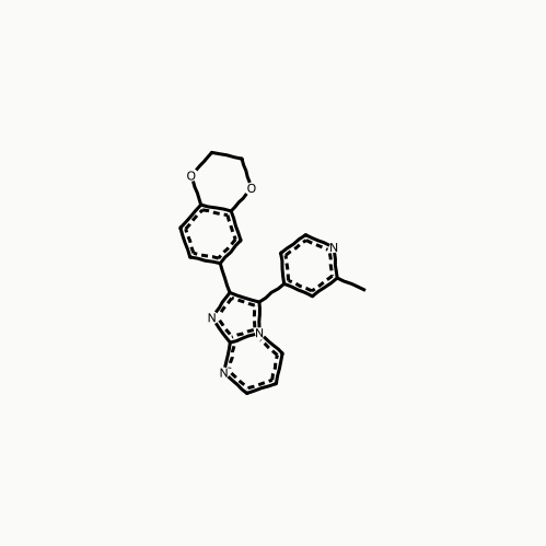 Cc1cc(-c2c(-c3ccc4c(c3)OCCO4)nc3ncccn23)ccn1